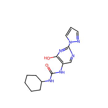 O=C(Nc1cnc(-n2cccn2)nc1O)NC1CCCCC1